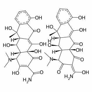 CN(C)[C@@H]1C(=O)/C(=C(\N)O)C(=O)[C@@]2(O)C(=O)C3=C(O)c4c(O)cccc4[C@@](C)(O)[C@H]3[C@H](O)[C@@H]12.CN(C)[C@@H]1C(O)=C(C(N)=O)C(=O)[C@@]2(O)C(O)=C3C(=O)c4c(O)cccc4[C@@](C)(O)[C@H]3[C@H](O)[C@@H]12